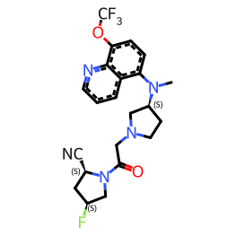 CN(c1ccc(OC(F)(F)F)c2ncccc12)[C@H]1CCN(CC(=O)N2C[C@@H](F)C[C@H]2C#N)C1